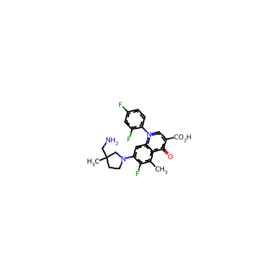 Cc1c(F)c(N2CCC(C)(CN)C2)cc2c1c(=O)c(C(=O)O)cn2-c1ccc(F)cc1F